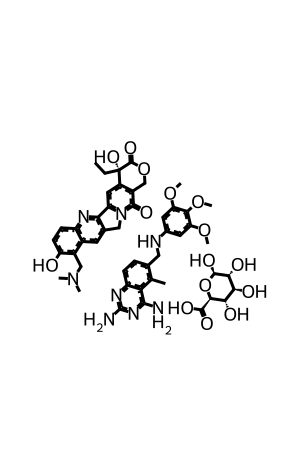 CC[C@@]1(O)C(=O)OCc2c1cc1n(c2=O)Cc2cc3c(CN(C)C)c(O)ccc3nc2-1.COc1cc(NCc2ccc3nc(N)nc(N)c3c2C)cc(OC)c1OC.O=C(O)[C@H]1O[C@@H](O)[C@H](O)[C@@H](O)[C@@H]1O